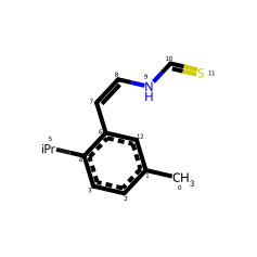 Cc1ccc(C(C)C)c(/C=C\NC=S)c1